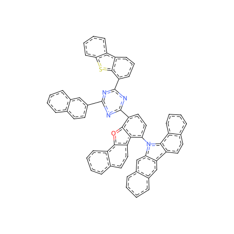 c1ccc2cc(-c3nc(-c4ccc(-n5c6cc7ccccc7cc6c6ccc7ccccc7c65)c5c4oc4c6ccccc6ccc45)nc(-c4cccc5c4sc4ccccc45)n3)ccc2c1